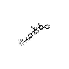 CC(C)OC(=O)ON1CCC(Oc2ncnc(Nc3ccc(N4CCOCC4)cc3F)c2C#N)CC1